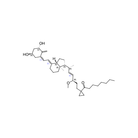 C=C1/C(=C\C=C2/CCC[C@]3(C)[C@@H]([C@H](C)/C=C/[C@@H](CCC4(C(=O)CCCCCCC)CC4)OC)CC[C@@H]23)C[C@@H](O)C[C@@H]1O